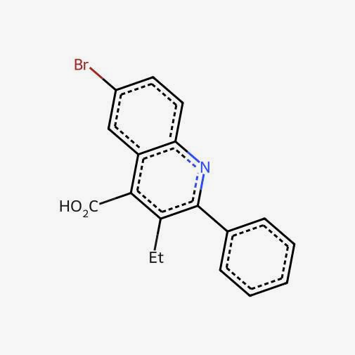 CCc1c(-c2ccccc2)nc2ccc(Br)cc2c1C(=O)O